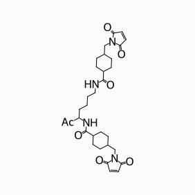 CC(=O)C(CCCCNC(=O)C1CCC(CN2C(=O)C=CC2=O)CC1)NC(=O)C1CCC(CN2C(=O)C=CC2=O)CC1